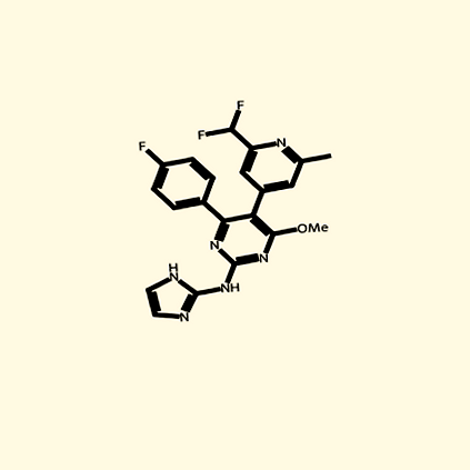 COc1nc(Nc2ncc[nH]2)nc(-c2ccc(F)cc2)c1-c1cc(C)nc(C(F)F)c1